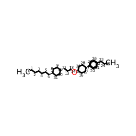 CCCCCCC[C@H]1CC[C@H](CCCO[C@H]2CC[C@H](c3ccc(CCC)cc3)CC2)CC1